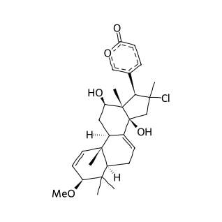 CO[C@H]1C=C[C@]2(C)[C@H]3C[C@@H](O)[C@]4(C)[C@@H](c5ccc(=O)oc5)C(C)(Cl)C[C@]4(O)C3=CC[C@H]2C1(C)C